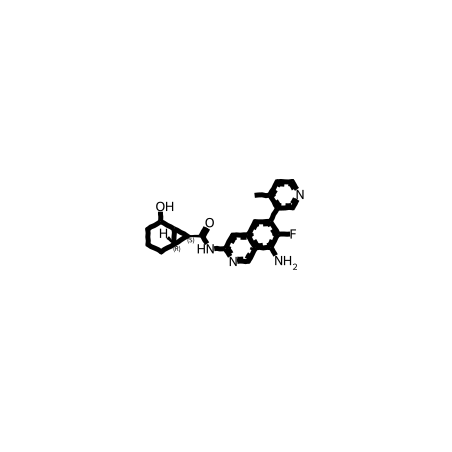 Cc1ccncc1-c1cc2cc(NC(=O)[C@@H]3C4C(O)CCC[C@H]43)ncc2c(N)c1F